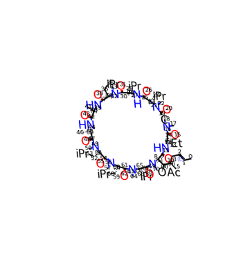 C/C=C/C[C@@H](C)[C@@H](OC(C)=O)[C@H]1C(=O)N[C@@H](CC)C(=O)N(C)CC(=O)N(C)[C@@H](C(C)C)C(=O)N[C@H](C(C)C)C(=O)N(C)[C@H](CC(C)C)C(=O)N[C@H](C)C(=O)N[C@@H](C)C(=O)N(C)[C@@H](CC(C)C)C(=O)N(C)[C@@H](CC(C)C)C(=O)N(C)[C@@H](C(C)C)C(=O)N1C